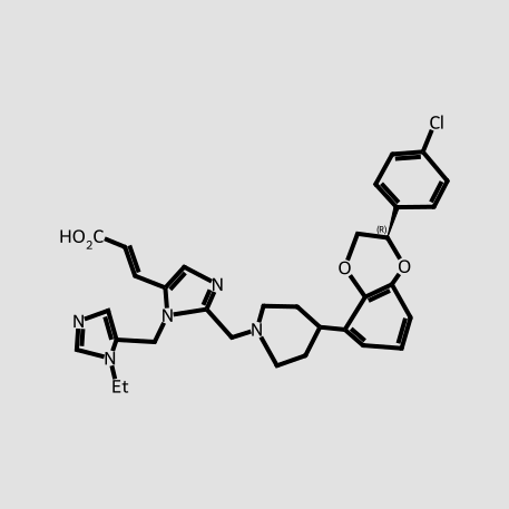 CCn1cncc1Cn1c(C=CC(=O)O)cnc1CN1CCC(c2cccc3c2OC[C@@H](c2ccc(Cl)cc2)O3)CC1